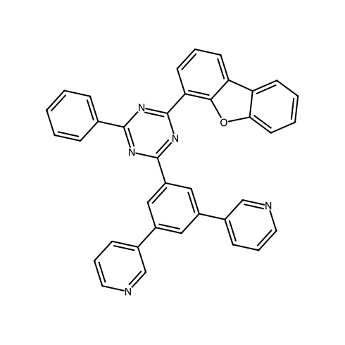 c1ccc(-c2nc(-c3cc(-c4cccnc4)cc(-c4cccnc4)c3)nc(-c3cccc4c3oc3ccccc34)n2)cc1